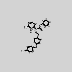 CCc1ncnc(N(CCc2ccc(Oc3ccc(C(F)(F)F)cn3)cc2)C(=O)Oc2ccccc2)c1Cl